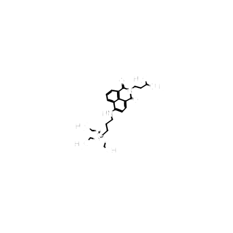 CCO[Si](CCCNc1ccc2c3c(cccc13)C(=O)N(CCC(C)C)C2=O)(OCC)OCC